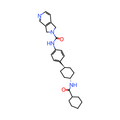 O=C(N[C@H]1CC[C@H](c2ccc(NC(=O)N3Cc4ccncc4C3)cc2)CC1)C1CCCCC1